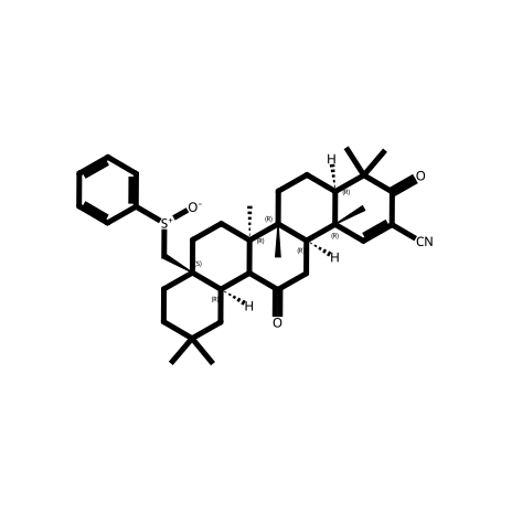 CC1(C)CC[C@]2(C[S+]([O-])c3ccccc3)CC[C@]3(C)C(C(=O)C[C@@H]4[C@@]5(C)C=C(C#N)C(=O)C(C)(C)[C@@H]5CC[C@]43C)[C@H]2C1